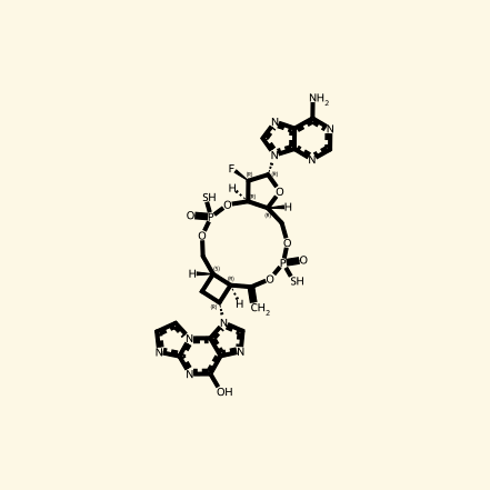 C=C1OP(=O)(S)OC[C@H]2O[C@@H](n3cnc4c(N)ncnc43)[C@H](F)[C@@H]2OP(=O)(S)OC[C@H]2C[C@@H](n3cnc4c(O)nc5nccn5c43)[C@H]12